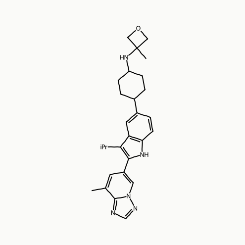 Cc1cc(-c2[nH]c3ccc(C4CCC(NC5(C)COC5)CC4)cc3c2C(C)C)cn2ncnc12